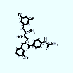 CCc1cccc(CN(C[C@@H](O)[C@@H](N)Cc2cc(F)cc(F)c2)C(=O)c2ccc(NC(N)=O)cc2)c1